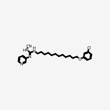 N#CN/C(=N\c1cccnc1)NCCCCCCCCCCCCOc1cccc(Cl)c1